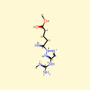 CN=C(N)Nc1cnn(C(=N)CCCC(=O)OC)n1